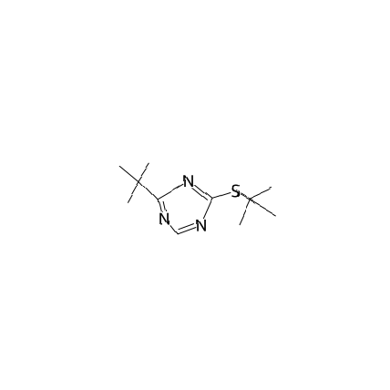 CC(C)(C)Sc1ncnc(C(C)(C)C)n1